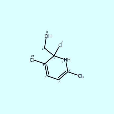 OCC1(Cl)NC(Cl)=CC=C1Cl